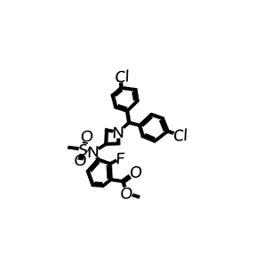 COC(=O)c1cccc(N(C2CN(C(c3ccc(Cl)cc3)c3ccc(Cl)cc3)C2)S(C)(=O)=O)c1F